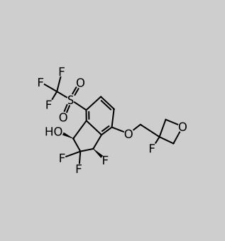 O=S(=O)(c1ccc(OCC2(F)COC2)c2c1[C@H](O)C(F)(F)[C@@H]2F)C(F)(F)F